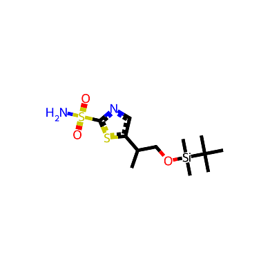 CC(CO[Si](C)(C)C(C)(C)C)c1cnc(S(N)(=O)=O)s1